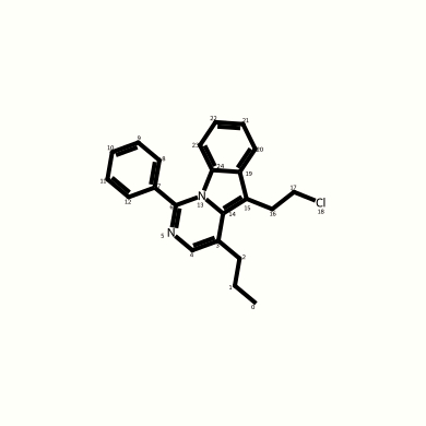 CCCc1cnc(-c2ccccc2)n2c1c(CCCl)c1ccccc12